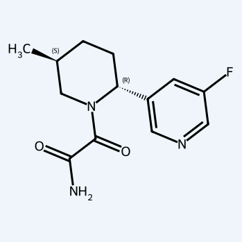 C[C@H]1CC[C@H](c2cncc(F)c2)N(C(=O)C(N)=O)C1